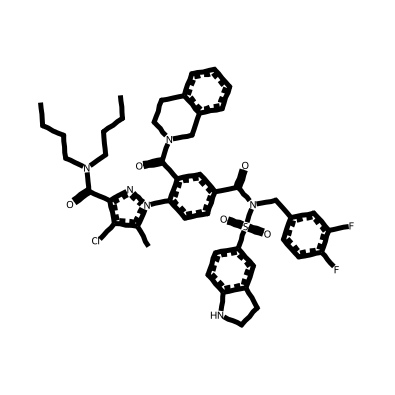 CCCCN(CCCC)C(=O)c1nn(-c2ccc(C(=O)N(Cc3ccc(F)c(F)c3)S(=O)(=O)c3ccc4c(c3)CCN4)cc2C(=O)N2CCc3ccccc3C2)c(C)c1Cl